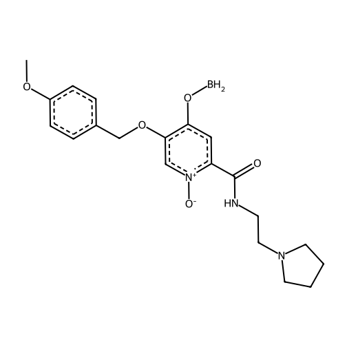 BOc1cc(C(=O)NCCN2CCCC2)[n+]([O-])cc1OCc1ccc(OC)cc1